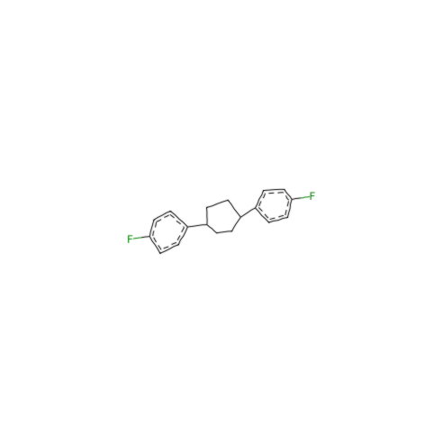 Fc1ccc(C2CCC(c3ccc(F)cc3)CC2)cc1